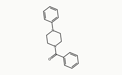 O=C(c1ccccc1)N1CCN(c2ccccc2)CC1